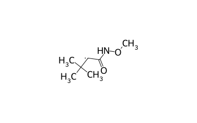 CONC(=O)[CH]C(C)(C)C